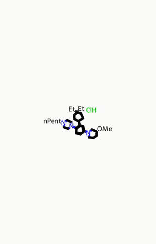 CCCCCN1CCN(c2ccc(N3CCCC(OC)C3)cc2C2CCC(CC)(CC)CC2)CC1.Cl